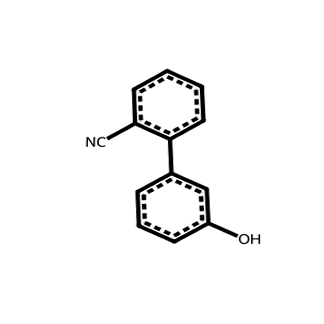 N#Cc1ccccc1-c1cccc(O)c1